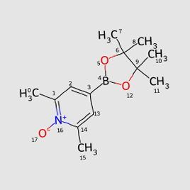 Cc1cc(B2OC(C)(C)C(C)(C)O2)cc(C)[n+]1[O-]